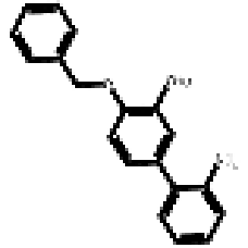 O=Cc1cc(-c2ccccc2[N+](=O)[O-])ccc1OCc1ccccc1